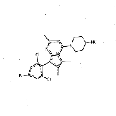 [C-]#[N+]C1CCN(c2cc(C)nc3c2c(C)c(C)n3-c2c(Cl)cc(Br)cc2Cl)CC1